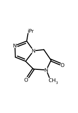 CC(C)c1ncc2n1CC(=O)N(C)C2=O